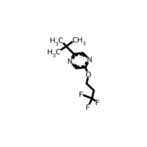 CC(C)(C)c1cnc(OCCC(F)(F)F)cn1